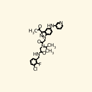 CC(=O)c1nn(CC(=O)N(CC(=O)NCc2cccc(Cl)c2F)C(C)C)c2ccc(Nc3cccnc3)cc12